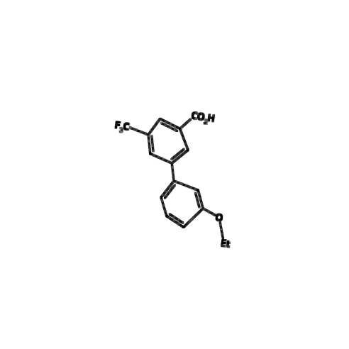 CCOc1cccc(-c2cc(C(=O)O)cc(C(F)(F)F)c2)c1